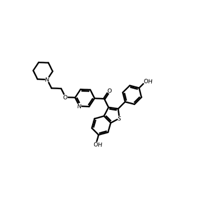 O=C(c1ccc(OCCN2CCCCC2)nc1)c1c(-c2ccc(O)cc2)sc2cc(O)ccc12